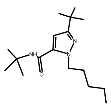 CCCCCn1nc(C(C)(C)C)cc1C(=O)NC(C)(C)C